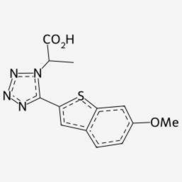 COc1ccc2cc(-c3nnnn3C(C)C(=O)O)sc2c1